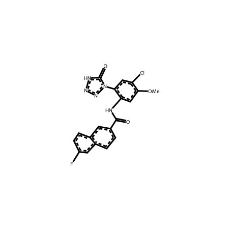 COc1cc(NC(=O)c2ccc3cc(F)ccc3c2)c(-n2nn[nH]c2=O)cc1Cl